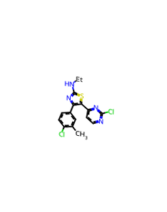 CCNc1nc(-c2ccc(Cl)c(C)c2)c(-c2ccnc(Cl)n2)s1